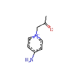 CC(=O)C[n+]1ccc(N)cc1